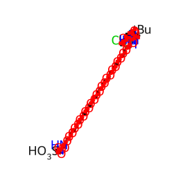 CC(C)(C)OC[C@H](Cc1ccc(NC(=O)c2c(Cl)cccc2Cl)cc1)NC(=O)C1(CCNC(=O)CCOCCOCCOCCOCCOCCOCCOCCOCCOCCOCCOCCOCCOCCOCCOCCOCCOCCOCCOCCOCCOCCOCCOCCOCCNC(=O)CON2C(=O)CC(S(=O)(=O)O)C2=O)CCCC1